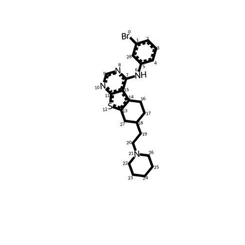 Brc1cccc(Nc2ncnc3sc4c(c23)CCC(CCN2CCCCC2)C4)c1